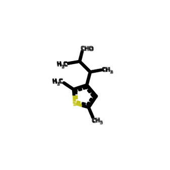 Cc1cc(C(C)C(C)C=O)c(C)s1